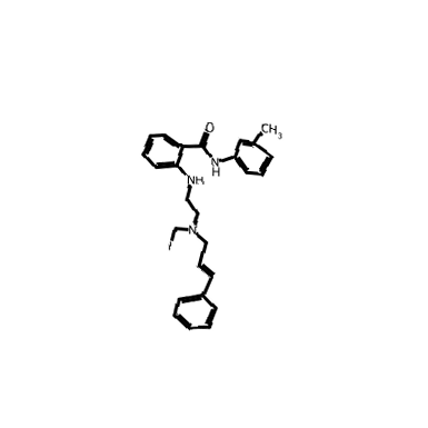 Cc1cccc(NC(=O)c2ccccc2NCCN(CI)C/C=C/c2ccccc2)c1